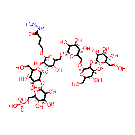 NNC(=O)CCCO[C@@H]1OC(CO[C@H]2OC(CO[C@H]3OC(CO)[C@@H](O)[C@H](O)C3O[C@H]3OC(COO)[C@@H](O)[C@H](O)C3O)[C@@H](O)[C@H](O)C2O)[C@@H](O)[C@H](O[C@H]2OC(CO)[C@@H](O)[C@H](O)C2O[C@H]2OC(COP(=O)(O)O)[C@@H](O)[C@H](O)C2O)C1O